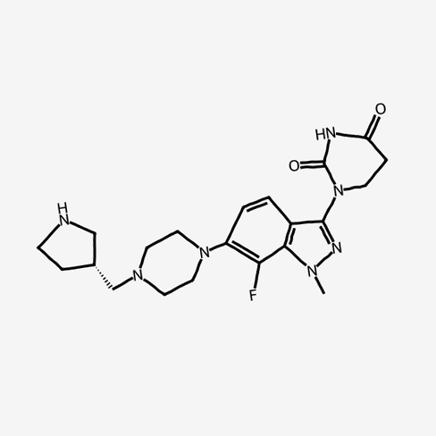 Cn1nc(N2CCC(=O)NC2=O)c2ccc(N3CCN(C[C@@H]4CCNC4)CC3)c(F)c21